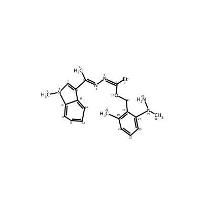 CCC(=NN=C(C)c1cn(C)c2ccccc12)OCc1c(C)cccc1N(C)N